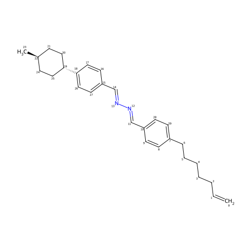 C=CCCCCCc1ccc(C=NN=Cc2ccc([C@H]3CC[C@H](C)CC3)cc2)cc1